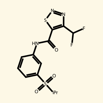 CC(C)S(=O)(=O)c1cccc(NC(=O)c2snnc2C(F)F)c1